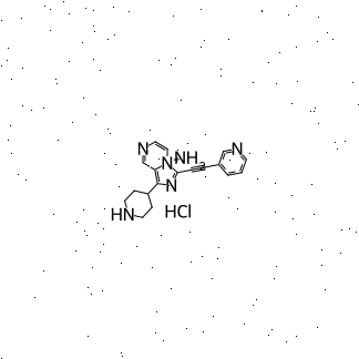 Cl.N[N+]12C=CN=CC1=C(C1CCNCC1)N=C2C#Cc1cccnc1